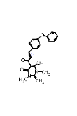 C=C1N(C)C(=O)C(C(=O)/C=C/c2ccc(Oc3ccccc3)cc2)=C(O)N1C